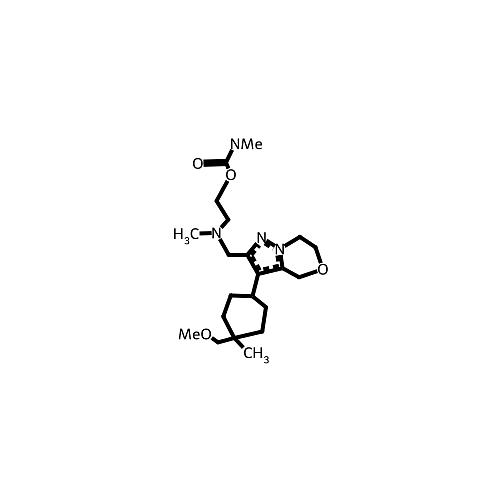 CNC(=O)OCCN(C)Cc1nn2c(c1C1CCC(C)(COC)CC1)COCC2